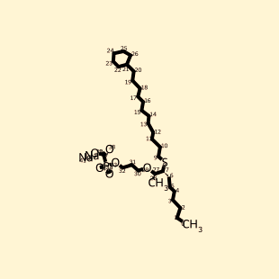 CCCCCCC[C@@H](SCCCCCCCCCCCCC1CCCCC1)[C@H](C)OCCCOP(=O)([O-])C(=O)[O-].[Na+].[Na+]